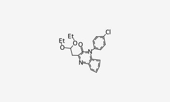 CCOC(Cc1nc2ccccc2n(-c2ccc(Cl)cc2)c1=O)OCC